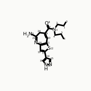 CCCN(CCC)C(=O)C1=Cc2sc(-c3cn[nH]c3)cc2N=C(N)C1